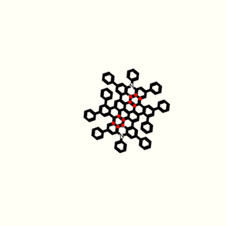 c1ccc(-c2cc(-c3ccccc3)c(-c3cc4c5c(cc6c(-c7c(-c8ccccc8)cc(-c8ccccc8)cc7-c7ccccc7)cc7c8c(cc3c5c68)B3c5ccc(-c6ccccc6)cc5N(c5ccccc5)c5cc(-c6ccccc6)cc-7c53)B3c5ccc(-c6ccccc6)cc5N(c5ccccc5)c5cc(-c6ccccc6)cc-4c53)c(-c3ccccc3)c2)cc1